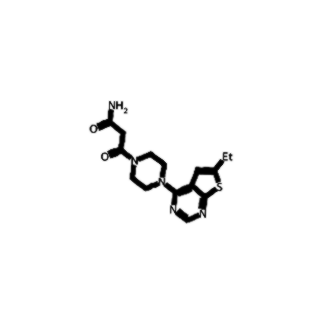 CCc1cc2c(N3CCN(C(=O)CC(N)=O)CC3)ncnc2s1